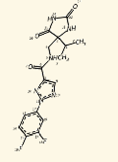 CC(C)C1(CNC(=O)c2cnn(-c3ccc(F)c(F)c3)n2)NC(=O)NC1=O